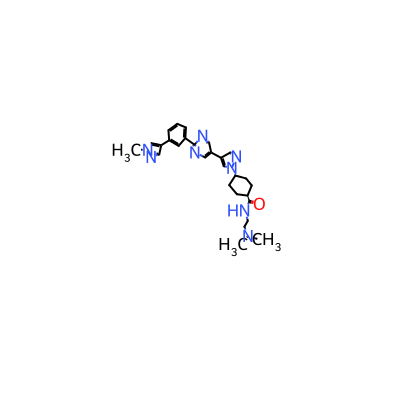 CN(C)CCNC(=O)[C@H]1CC[C@H](n2cc(-c3cnc(-c4cccc(-c5cnn(C)c5)c4)nc3)cn2)CC1